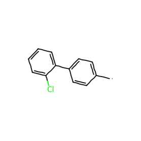 [CH2]c1ccc(-c2ccccc2Cl)cc1